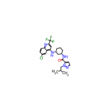 CC(C)Cn1nccc1C(=O)N[C@@H]1CCC[C@H](Nc2cc(C(F)(F)F)nc3ccc(Cl)cc23)C1